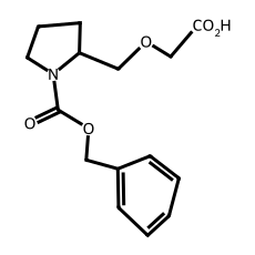 O=C(O)COCC1CCCN1C(=O)OCc1ccccc1